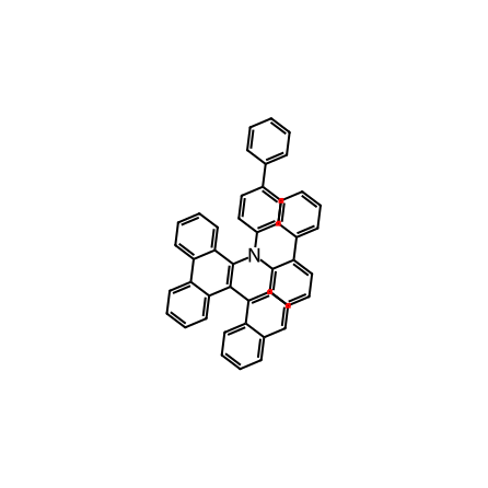 c1ccc(-c2ccc(N(c3ccccc3-c3ccccc3)c3c(-c4cccc5ccccc45)c4ccccc4c4ccccc34)cc2)cc1